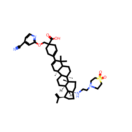 C=C(C)[C@@H]1CC[C@]2(NCCN3CCS(=O)(=O)CC3)CC[C@]3(C)[C@H](CCC4[C@@]5(C)CC=C(C6=CCC(COc7cc(C#N)ccn7)(C(=O)O)CC6)C(C)(C)C5CC[C@]43C)[C@@H]12